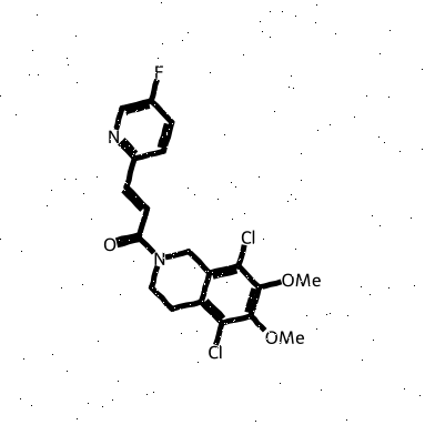 COc1c(Cl)c2c(c(Cl)c1OC)CN(C(=O)/C=C/c1ccc(F)cn1)CC2